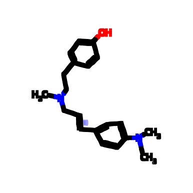 CN(C/C=C/c1ccc(N(C)C)cc1)CCc1ccc(O)cc1